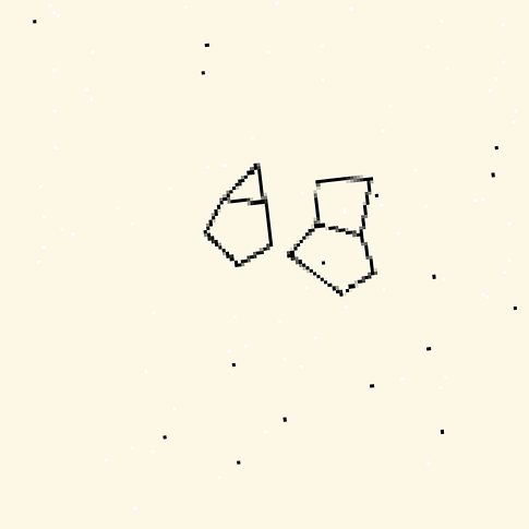 C1CC2CC2C1.C1CC2CCC2C1